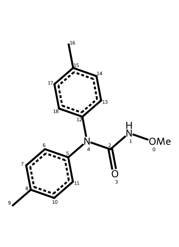 CONC(=O)N(c1ccc(C)cc1)c1ccc(C)cc1